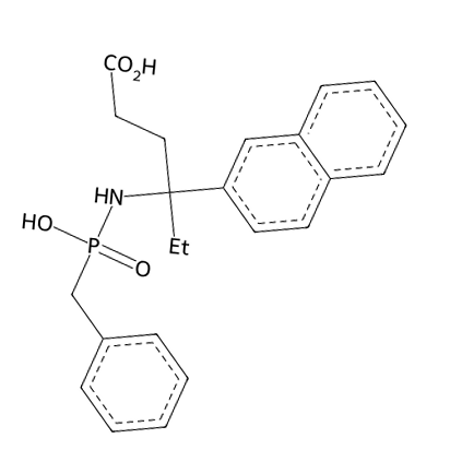 CCC(CCC(=O)O)(NP(=O)(O)Cc1ccccc1)c1ccc2ccccc2c1